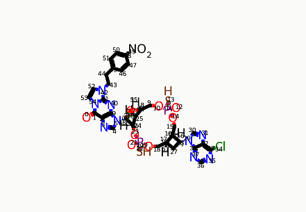 O=c1c2ncn([C@@H]3O[C@@H]4COP(=O)(S)OC[C@@H]5[C@@H](COP(=O)(S)O[C@@H]3[C@@H]4F)C[C@H]5n3cnc4c(Cl)ncnc43)c2nc2n(CCc3ccc([N+](=O)[O-])cc3)ccn12